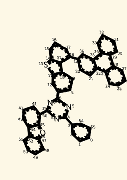 c1ccc(-c2nc(-c3ccc4c(c3)sc3cccc(-c5ccc6c7ccccc7c7ccccc7c6c5)c34)nc(-c3cccc4c3oc3ccccc34)n2)cc1